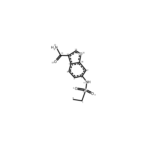 CCS(=O)(=O)Nc1ccc2c(C(N)=O)coc2c1